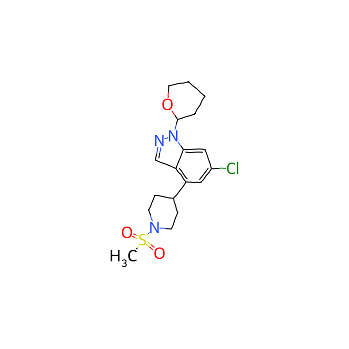 CS(=O)(=O)N1CCC(c2cc(Cl)cc3c2cnn3C2CCCCO2)CC1